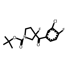 CC(C)(C)OC(=O)N1CCC(F)(C(=O)c2ccc(F)c(Cl)c2)C1